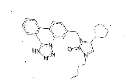 CCCCn1cc(C2CCCC2)n(Cc2ccc(-c3ccccc3-c3nnn[nH]3)cc2)c1=O